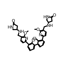 COc1nc(-c2cccc(-c3cccc(-c4ccc(CNC5CNC(=O)C5)c(OC)n4)c3Cl)c2Cl)ccc1CNC1CNC(=O)C1